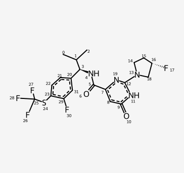 CC(C)[C@@H](NC(=O)c1cc(=O)[nH]c(N2CC[C@H](F)C2)n1)c1ccc(SC(F)(F)F)c(F)c1